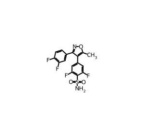 Cc1onc(-c2ccc(F)c(F)c2)c1-c1cc(F)c(S(N)(=O)=O)c(F)c1